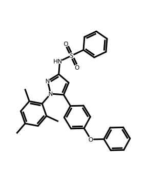 Cc1cc(C)c(-n2nc(NS(=O)(=O)c3ccccc3)cc2-c2ccc(Oc3ccccc3)cc2)c(C)c1